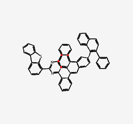 c1ccc(-c2nc(-c3ccccc3-c3cc4ccc(-c5c(-c6ccccc6)ccc6ccccc56)cc4c4ccccc34)nc(-c3cccc4c3sc3ccccc34)n2)cc1